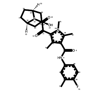 Cc1cc(NC(=O)c2c(C)c(C(=O)C(=O)N3[C@@H]4CC[C@H]3C[C@@H](O)C4)n(C)c2C)ccc1F